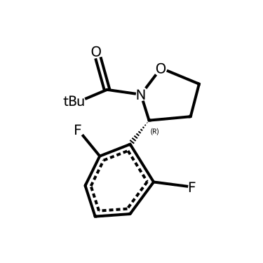 CC(C)(C)C(=O)N1OCC[C@@H]1c1c(F)cccc1F